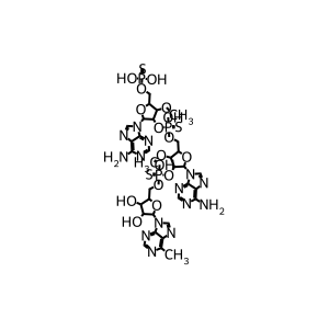 COC1C(COP(O)(O)=S)OC(n2cnc3c(N)ncnc32)C1OP(O)(=S)OCC1OC(n2cnc3c(N)ncnc32)C(OP(O)(=S)OCC2OC(n3cnc4c(C)ncnc43)C(O)C2O)C1OC